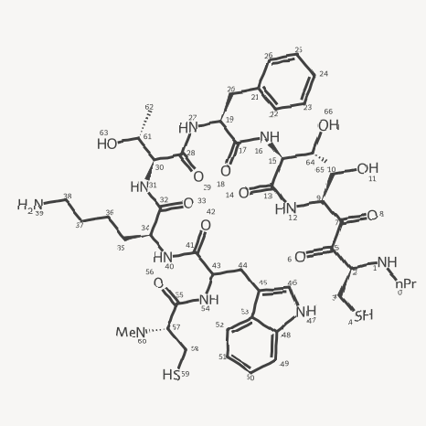 CCCN[C@@H](CS)C(=O)C(=O)[C@H](CO)NC(=O)[C@@H](NC(=O)[C@H](Cc1ccccc1)NC(=O)[C@@H](NC(=O)[C@H](CCCCN)NC(=O)C(Cc1c[nH]c2ccccc12)NC(=O)[C@H](CS)NC)[C@@H](C)O)[C@@H](C)O